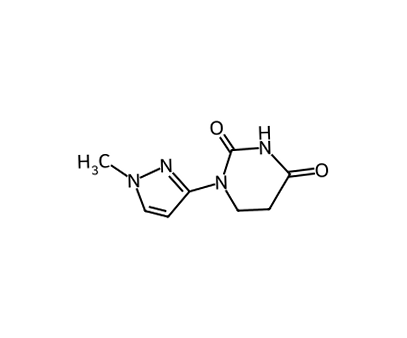 Cn1ccc(N2CCC(=O)NC2=O)n1